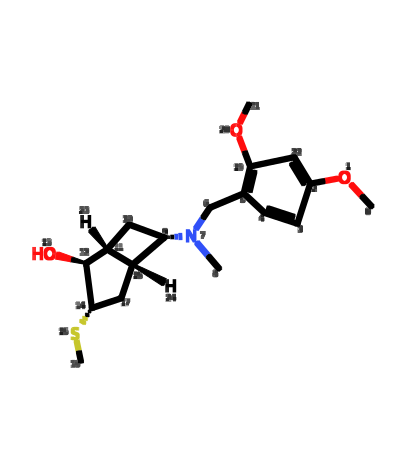 COc1ccc(CN(C)[C@H]2C[C@H]3[C@H](O)[C@@H](SC)C[C@H]32)c(OC)c1